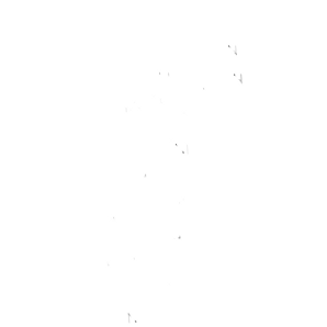 COC(=O)C(Cc1ccn(C)n1)NCc1ccc(-c2ccncc2)cc1